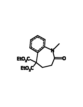 CCOC(=O)C1(C(=O)OCC)CCC(=O)N(C)c2ccccc21